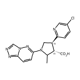 CC1[C@@H](C(=O)O)[C@H](c2ccc(Cl)cn2)CN1c1ccc2nncn2n1